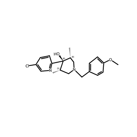 COc1ccc(CN2C[C@@H](C)[C@@](O)(c3ccc(Cl)cn3)[C@@H](C)C2)cc1